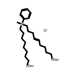 CCCCCCCCCCCCCCC=CCCC[N+](C)(CCCCCCCCCCCCCCCCCC)c1ccccc1.[Cl-]